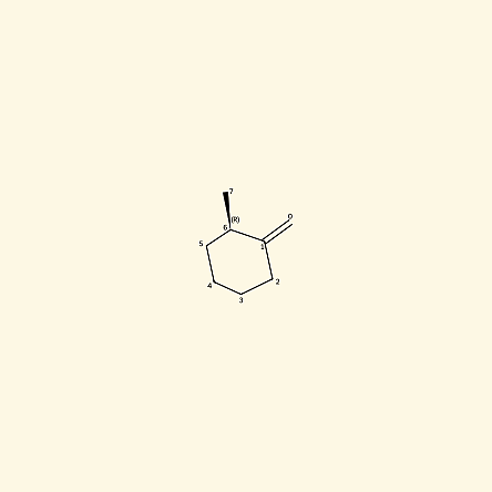 C=C1CCCC[C@H]1C